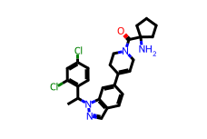 CC(c1ccc(Cl)cc1Cl)n1ncc2ccc(C3=CCN(C(=O)C4(N)CCCC4)CC3)cc21